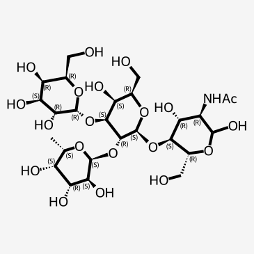 CC(=O)N[C@H]1C(O)O[C@H](CO)[C@@H](O[C@@H]2O[C@H](CO)[C@H](O)[C@H](O[C@H]3O[C@H](CO)[C@H](O)[C@H](O)[C@H]3O)[C@H]2O[C@@H]2O[C@@H](C)[C@@H](O)[C@@H](O)[C@@H]2O)[C@@H]1O